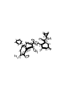 CN1C[C@H](c2ccccc2)n2nc(C(=O)NCc3ccc(F)cc3C(=O)NC3CC3)c(O)c2C1=O